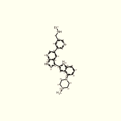 CCNCc1cncc(-c2cnc3[nH]nc(-c4cc5c(N6CCN(C)CC6)cccc5[nH]4)c3c2)c1